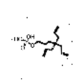 C=CCC(CC=C)(CC=C)CCCOP(=O)(O)O